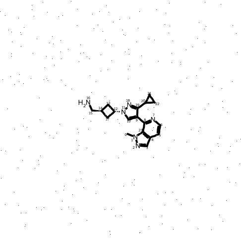 Cn1ncc2ccnc(-c3cn([C@H]4C[C@H](CN)C4)nc3C3CC3)c21